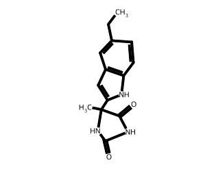 CCc1ccc2[nH]c(C3(C)NC(=O)NC3=O)cc2c1